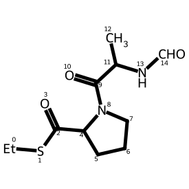 CCSC(=O)C1CCCN1C(=O)C(C)NC=O